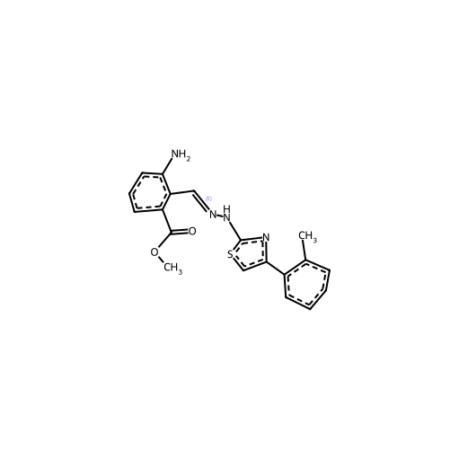 COC(=O)c1cccc(N)c1/C=N/Nc1nc(-c2ccccc2C)cs1